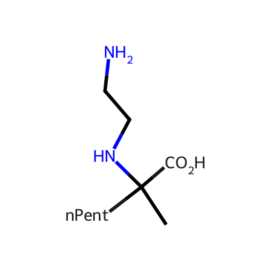 CCCCCC(C)(NCCN)C(=O)O